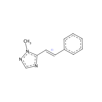 Cn1ncnc1/C=C/c1ccccc1